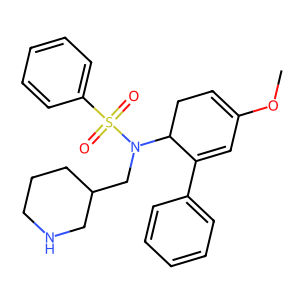 COC1=CCC(N(CC2CCCNC2)S(=O)(=O)c2ccccc2)C(c2ccccc2)=C1